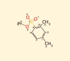 Cc1ccc(S(=O)(=O)OC(C)C)c(C)c1